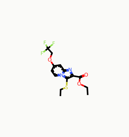 CCOC(=O)c1nc2cc(OCC(F)(F)F)ccn2c1SCC